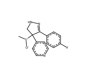 C[S+]([O-])C1(c2ccncc2)CNN=C1c1ccc(F)cc1